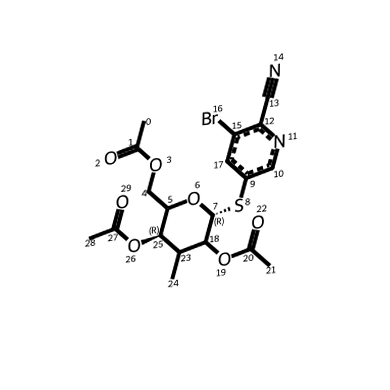 CC(=O)OCC1O[C@H](Sc2cnc(C#N)c(Br)c2)C(OC(C)=O)C(C)[C@H]1OC(C)=O